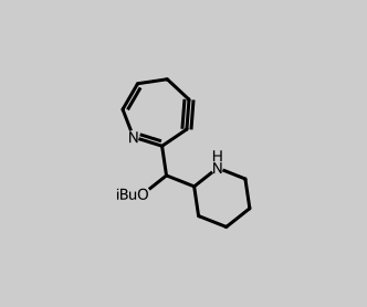 CC(C)COC(C1=NC=CCC#C1)C1CCCCN1